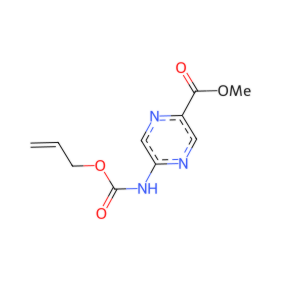 C=CCOC(=O)Nc1cnc(C(=O)OC)cn1